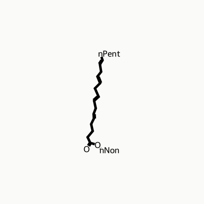 CCCCCC=CCC=CCC=CCC=CCCCC(=O)OCCCCCCCCC